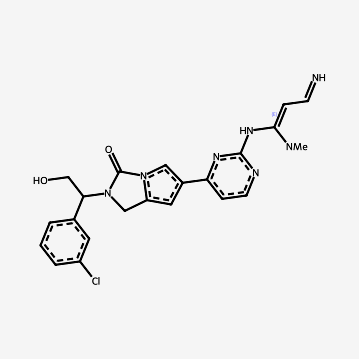 CN/C(=C\C=N)Nc1nccc(-c2cc3n(c2)C(=O)N(C(CO)c2cccc(Cl)c2)C3)n1